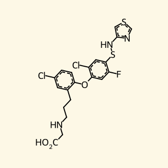 O=C(O)CNCCCc1cc(Cl)ccc1Oc1cc(F)c(SNc2cscn2)cc1Cl